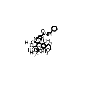 Cc1nc2cc(C(=O)NCCC3CCCCC3)nn2c(-c2cc(F)c3c(c2C)CCCO3)c1[C@H](OC(C)(C)C)C(=O)O